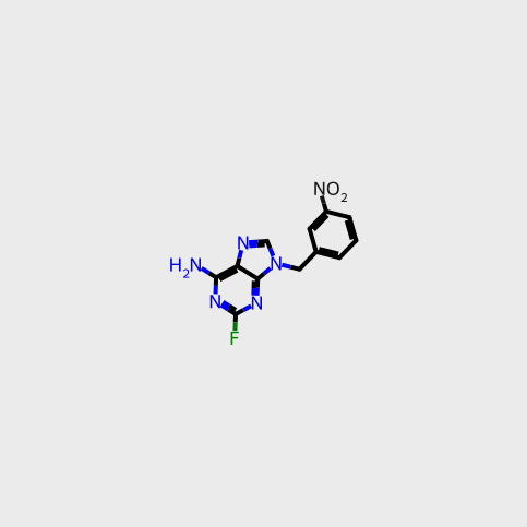 Nc1nc(F)nc2c1ncn2Cc1cccc([N+](=O)[O-])c1